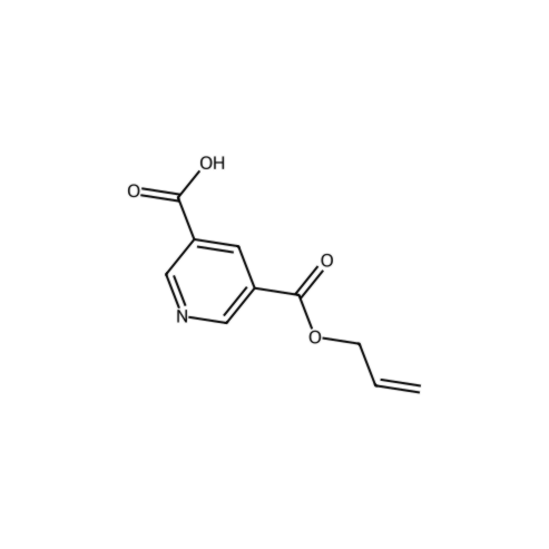 C=CCOC(=O)c1cncc(C(=O)O)c1